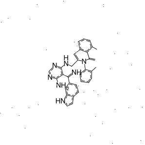 C=C1c2c(C)cccc2C=C(CNc2ncnc(N)c2C(=N)c2ccc3cc[nH]c3c2)N1c1ccccc1C